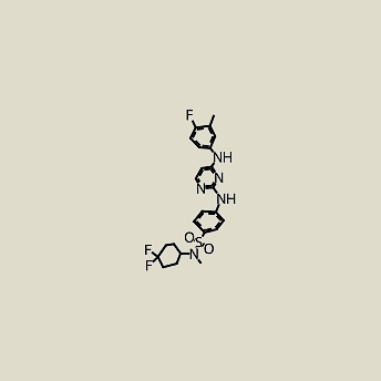 Cc1cc(Nc2ccnc(Nc3ccc(S(=O)(=O)N(C)C4CCC(F)(F)CC4)cc3)n2)ccc1F